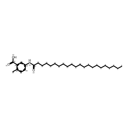 CCCCCCCCCCCCCCCCCCCCCC(=O)Nc1ccc(C)c(C(=O)O)c1